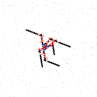 CCCCCCCCCCCCSCC(C)C(=O)COCOC(=O)CCN(CCCN(CCC(=O)OCCOC(=O)C(C)CSCCCCCCCCCCCC)CCC(=O)OCCOC(=O)C(C)CSCCCCCCCCCCCC)CCCN(CCC(=O)OCCOC(=O)C(C)CSCCCCCCCCCCCC)CCC(=O)OCCOC(=O)C(C)CSCCCCCCCCCCCC